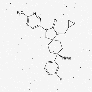 CN[C@]1(c2cccc(F)c2)CC[C@]2(CC1)CN(c1cnc(C(F)(F)F)nc1)C(=O)N2CC1CC1